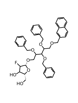 OC[C@H]1O[C@@H](OCC(OCc2ccccc2)C(OCc2ccccc2)C(COCc2ccc3ccccc3c2)OCc2ccccc2)C(F)C1O